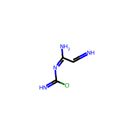 N=C/C(N)=N\C(=N)Cl